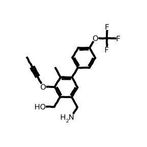 CC#COc1c(C)c(-c2ccc(OC(F)(F)F)cc2)cc(CN)c1CO